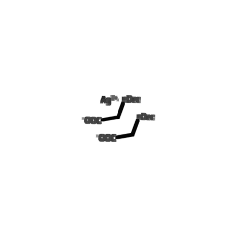 CCCCCCCCCCCC(=O)[O-].CCCCCCCCCCCC(=O)[O-].[Ag+2]